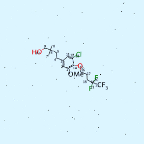 COc1cc(CCC(C)(C)CO)cc(Cl)c1OCCCC(F)(F)C(F)(F)F